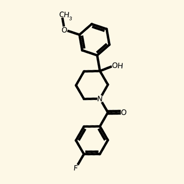 COc1cccc(C2(O)CCCN(C(=O)c3ccc(F)cc3)C2)c1